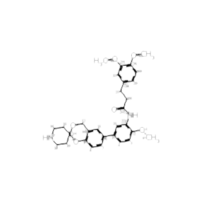 COc1ccc(-c2ccc3c(c2)COC2(CCNCC2)O3)cc1NC(=O)CCc1ccc(OC)c(OC)c1